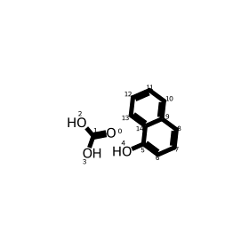 O=C(O)O.Oc1cccc2ccccc12